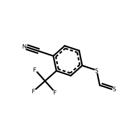 N#Cc1ccc(SC=S)cc1C(F)(F)F